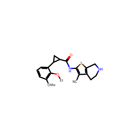 CCOc1c(OC)cccc1C1CC1C(=O)Nc1sc2c(c1C#N)CCNC2